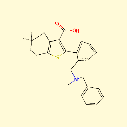 CN(Cc1ccccc1)Cc1ccccc1-c1sc2c(c1C(=O)O)CC(C)(C)CC2